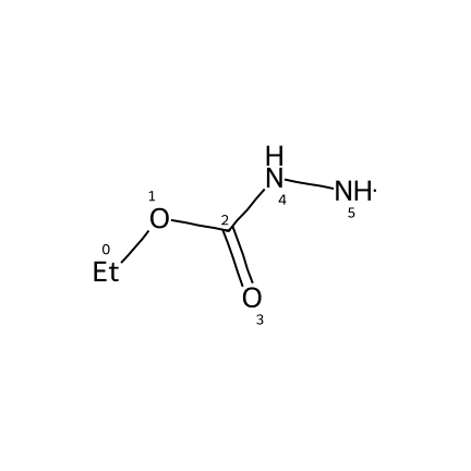 CCOC(=O)N[NH]